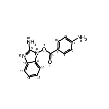 Nc1ccc(C(=O)On2c(N)nc3ccccc32)cc1